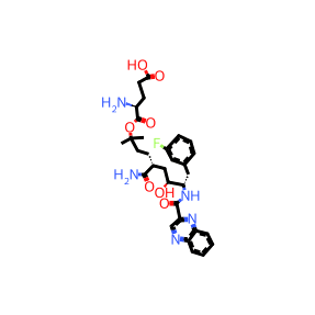 CC(C)(CC[C@H](C[C@H](O)[C@H](Cc1cccc(F)c1)NC(=O)c1cnc2ccccc2n1)C(N)=O)OC(=O)[C@@H](N)CCC(=O)O